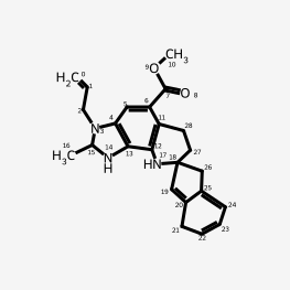 C=CCN1c2cc(C(=O)OC)c3c(c2NC1C)NC1(C=C2CC=CC=C2C1)CC3